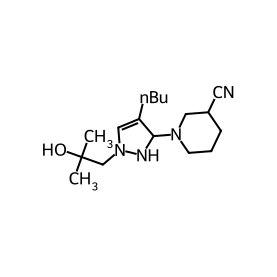 CCCCC1=CN(CC(C)(C)O)NC1N1CCCC(C#N)C1